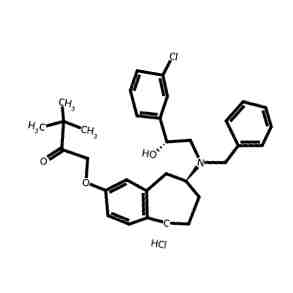 CC(C)(C)C(=O)COc1ccc2c(c1)C[C@@H](N(Cc1ccccc1)C[C@H](O)c1cccc(Cl)c1)CCC2.Cl